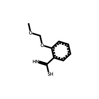 COCOc1ccccc1C(=N)S